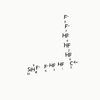 F.F.F.F.F.[C+4].[F-].[F-].[F-].[F-].[SiH4]